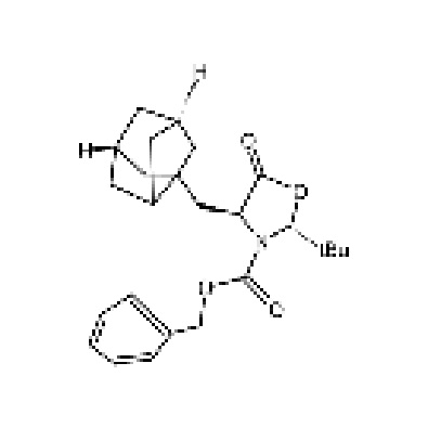 CC(C)(C)[C@H]1OC(=O)[C@H](CC23C[C@@H]4CC2C[C@@H](C4)C3)N1C(=O)OCc1ccccc1